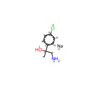 CC(O)(CN)c1ccc(Cl)cc1.[Na]